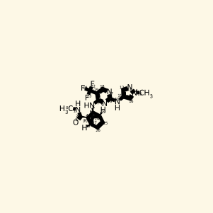 CNC(=O)[C@H]1[C@@H](Nc2nc(Nc3cnn(C)c3)ncc2C(F)(F)F)[C@@H]2C=C[C@H]1C2